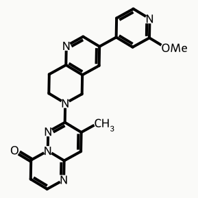 COc1cc(-c2cnc3c(c2)CN(c2nn4c(=O)ccnc4cc2C)CC3)ccn1